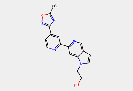 OCCn1ccc2cnc(-c3cc(-c4noc(C(F)(F)F)n4)ccn3)cc21